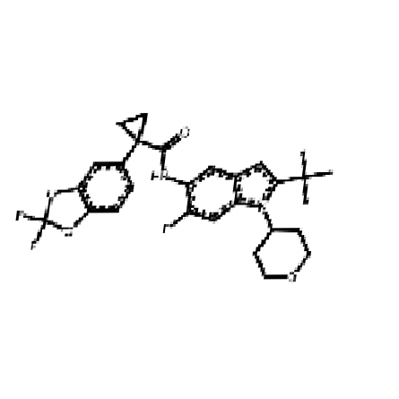 CC(C)(C)c1cc2cc(NC(=O)C3(c4ccc5c(c4)OC(F)(F)O5)CC3)c(F)cc2n1C1CCOCC1